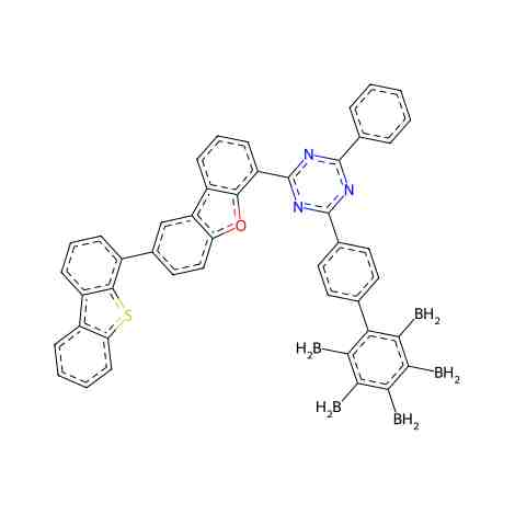 Bc1c(B)c(B)c(-c2ccc(-c3nc(-c4ccccc4)nc(-c4cccc5c4oc4ccc(-c6cccc7c6sc6ccccc67)cc45)n3)cc2)c(B)c1B